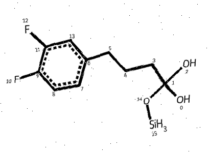 OC(O)(CCCc1ccc(F)c(F)c1)O[SiH3]